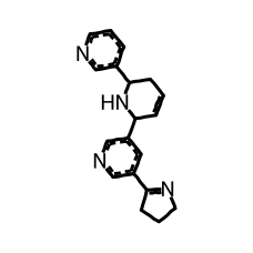 C1=CC(c2cncc(C3=NCCC3)c2)NC(c2cccnc2)C1